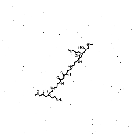 CBCC(O)CN(CCN)CCNCCNC(=O)CC(=O)NCCNCCNCCN(CC(O)CBC)CC(O)CBC